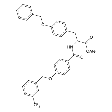 COC(=O)C(Cc1ccc(OCc2ccccc2)cc1)NC(=O)c1ccc(OCc2cccc(C(F)(F)F)c2)cc1